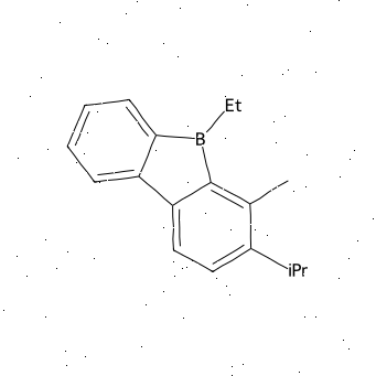 CCB1c2ccccc2-c2ccc(C(C)C)c(C)c21